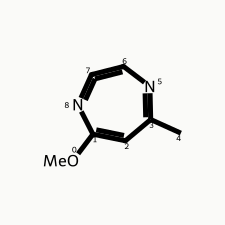 COC1=CC(C)=NC=C=N1